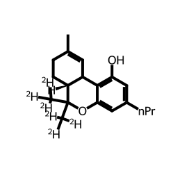 [2H]C([2H])([2H])C1(C([2H])([2H])[2H])Oc2cc(CCC)cc(O)c2C2C=C(C)CC[C@H]21